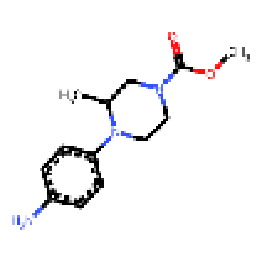 COC(=O)N1CCN(c2ccc(N)cc2)C(C)C1